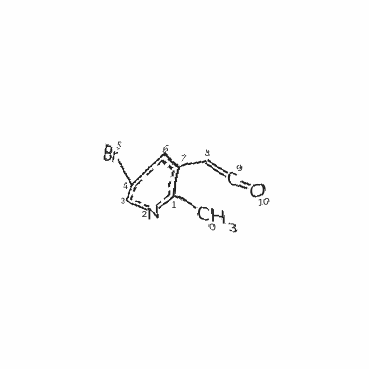 Cc1ncc(Br)cc1C=C=O